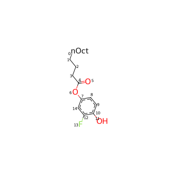 CCCCCCCCCCCC(=O)Oc1ccc(O)c(F)c1